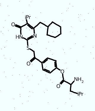 CC(C)CC(N)C(=O)Oc1ccc(C(=O)CSc2nc(CC3CCCCC3)c(C(C)C)c(=O)[nH]2)cc1